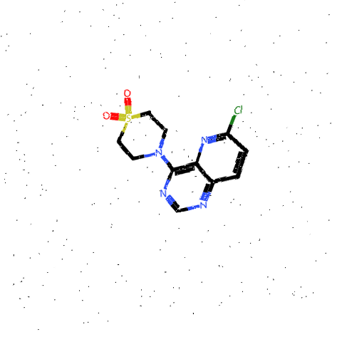 O=S1(=O)CCN(c2ncnc3ccc(Cl)nc23)CC1